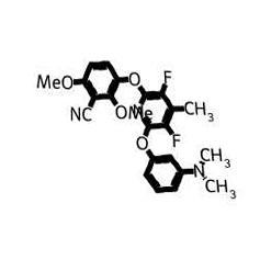 COc1ccc(Oc2nc(Oc3cccc(N(C)C)c3)c(F)c(C)c2F)c(OC)c1C#N